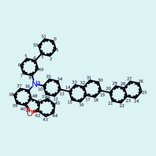 c1ccc(-c2cccc(N(c3ccc(-c4ccc5cc(-c6ccc7ccccc7c6)ccc5c4)cc3)c3cccc4oc5ccccc5c34)c2)cc1